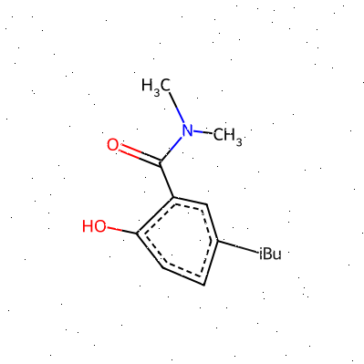 CCC(C)c1ccc(O)c(C(=O)N(C)C)c1